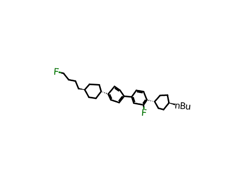 CCCC[C@H]1CC[C@H](c2ccc(-c3ccc([C@H]4CC[C@H](CCCCF)CC4)cc3)cc2F)CC1